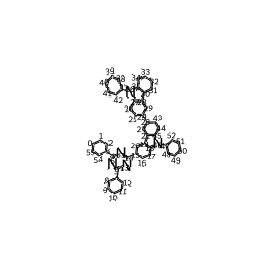 c1ccc(-c2nc(-c3ccccc3)nc(-c3ccc4c(c3)c3cc(-c5ccc6c(c5)c5ccccc5n6-c5ccccc5)ccc3n4-c3ccccc3)n2)cc1